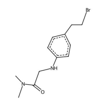 CN(C)C(=O)CNc1ccc(CCBr)cc1